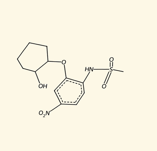 CS(=O)(=O)Nc1ccc([N+](=O)[O-])cc1OC1CCCCC1O